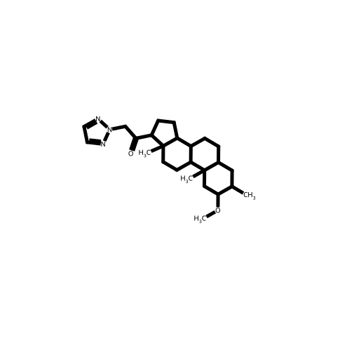 COC1CC2(C)C(CCC3C2CCC2(C)C(C(=O)Cn4nccn4)CCC32)CC1C